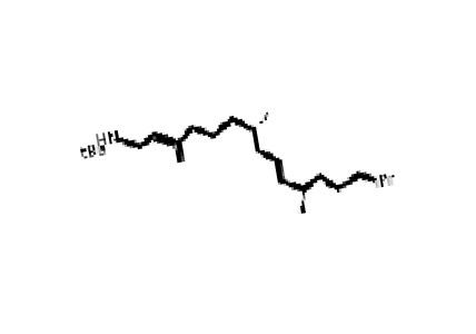 C/C(=C\CNC(C)(C)C)CCC[C@H](C)CCC[C@H](C)CCCC(C)C